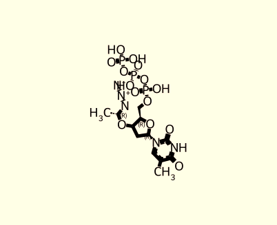 Cc1cn([C@H]2CC(O[C@H](C)N=[N+]=[N-])[C@@H](COP(=O)(O)OP(=O)(O)OP(=O)(O)O)O2)c(=O)[nH]c1=O